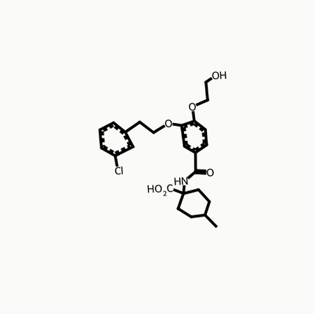 CC1CCC(NC(=O)c2ccc(OCCO)c(OCCc3cccc(Cl)c3)c2)(C(=O)O)CC1